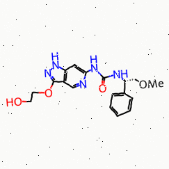 COC[C@@H](NC(=O)Nc1cc2[nH]nc(OCCO)c2cn1)c1ccccc1